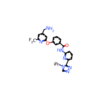 CC(C)n1cnnc1-c1cccc(NC(=O)c2cccc(Oc3cc(CN)cc(C(F)(F)F)n3)c2)n1